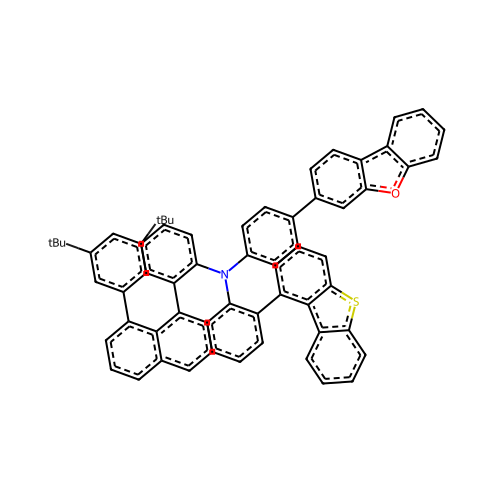 CC(C)(C)c1cc(-c2cccc3cccc(-c4ccccc4N(c4ccc(-c5ccc6c(c5)oc5ccccc56)cc4)c4ccccc4-c4cccc5sc6ccccc6c45)c23)cc(C(C)(C)C)c1